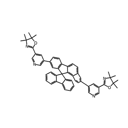 CC1(C)N=C(c2cncc(-c3ccc4c(c3)C3(c5ccccc5-c5ccccc53)c3c-4ccc4cc(-c5cncc(C6=NC(C)(C)C(C)(C)O6)c5)ccc34)c2)OC1(C)C